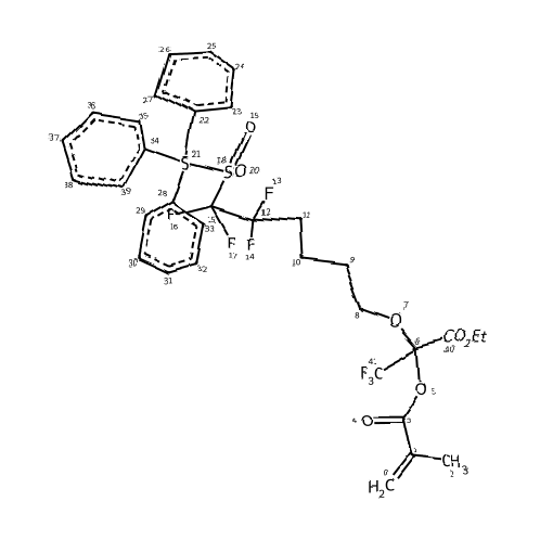 C=C(C)C(=O)OC(OCCCCC(F)(F)C(F)(F)S(=O)(=O)S(c1ccccc1)(c1ccccc1)c1ccccc1)(C(=O)OCC)C(F)(F)F